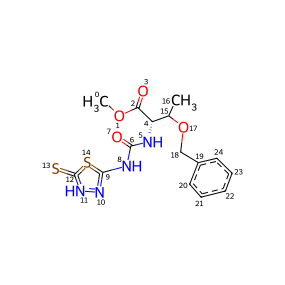 COC(=O)[C@@H](NC(=O)Nc1n[nH]c(=S)s1)C(C)OCc1ccccc1